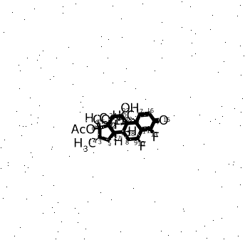 CC(=O)O[C@]1(C(=O)O)[C@@H](C)C[C@H]2[C@@H]3C[C@H](F)C4=C(F)C(=O)C=C[C@]4(C)[C@@]3(F)[C@@H](O)C[C@@]21C